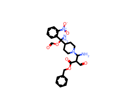 NC(C(C=O)C(=O)OCc1ccccc1)N1CCC(C(N)(OC=O)c2ccccc2[N+](=O)[O-])CC1